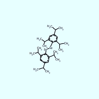 CC(C)c1cc(C(C)C)c([Se][Se]c2c(C(C)C)cc(C(C)C)cc2C(C)C)c(C(C)C)c1